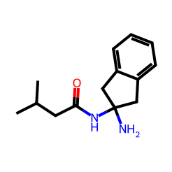 CC(C)CC(=O)NC1(N)Cc2ccccc2C1